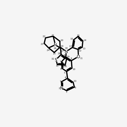 c1cncc(-c2ccc3c(c2)Oc2ccccc2N3C2CC3CCC(C2)N3Cc2cccs2)c1